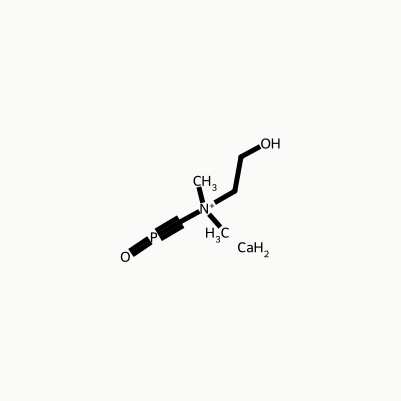 C[N+](C)(C#P=O)CCO.[CaH2]